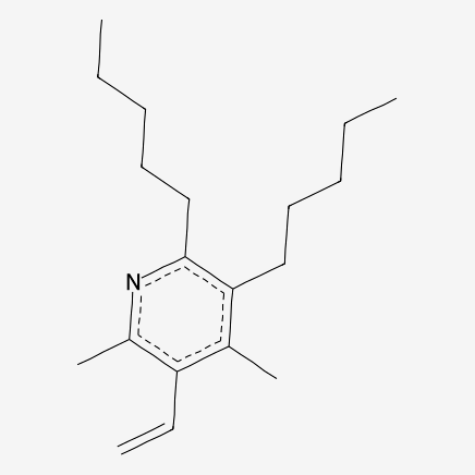 C=Cc1c(C)nc(CCCCC)c(CCCCC)c1C